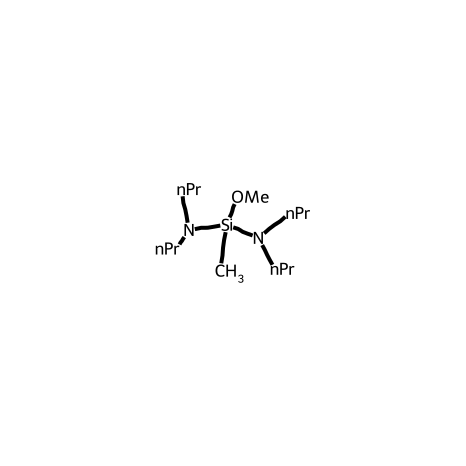 CCCN(CCC)[Si](C)(OC)N(CCC)CCC